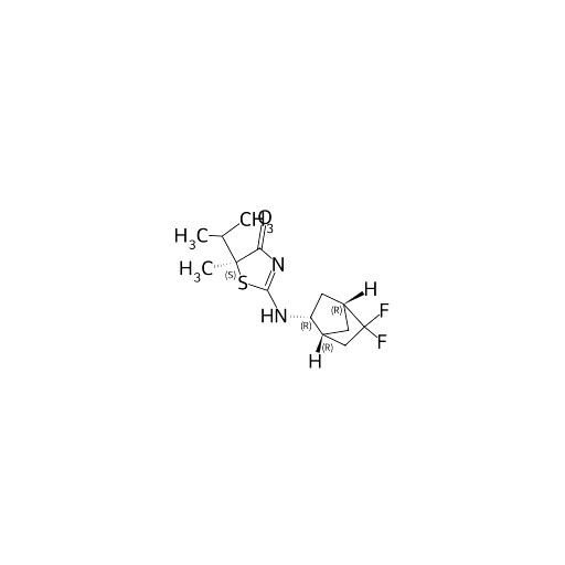 CC(C)[C@]1(C)SC(N[C@@H]2C[C@H]3C[C@@H]2CC3(F)F)=NC1=O